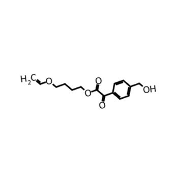 C=COCCCCOC(=O)C(=O)c1ccc(CO)cc1